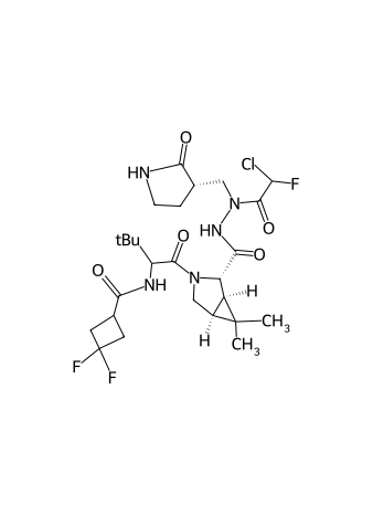 CC(C)(C)C(NC(=O)C1CC(F)(F)C1)C(=O)N1C[C@H]2[C@@H]([C@H]1C(=O)NN(C[C@@H]1CCNC1=O)C(=O)C(F)Cl)C2(C)C